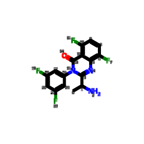 CC(N)c1nc2c(F)ccc(F)c2c(=O)n1-c1cc(F)cc(F)c1